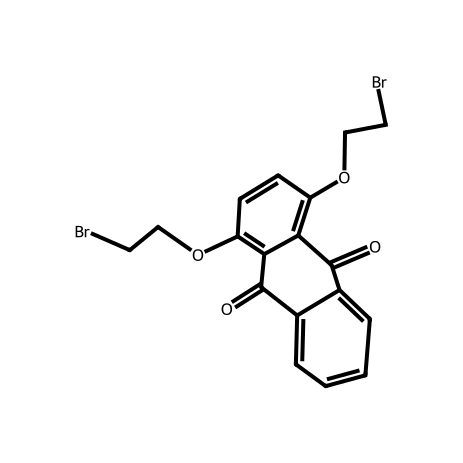 O=C1c2ccccc2C(=O)c2c(OCCBr)ccc(OCCBr)c21